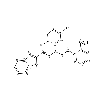 O=C(O)c1ccccc1OCCCN(Cc1ccc(F)cc1)c1nc2ccccc2o1